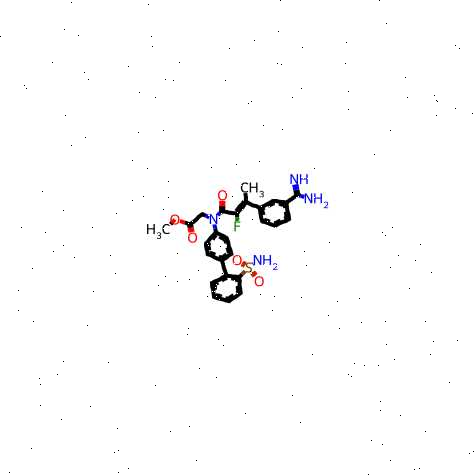 COC(=O)CN(C(=O)C(F)=C(C)c1cccc(C(=N)N)c1)c1ccc(-c2ccccc2S(N)(=O)=O)cc1